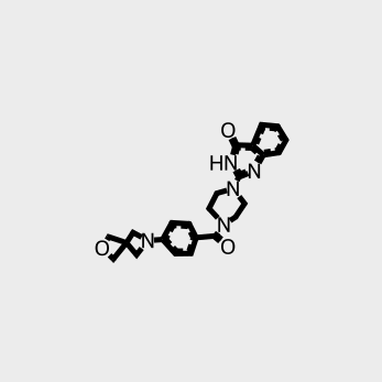 O=C(c1ccc(N2CC3(COC3)C2)cc1)N1CCN(c2nc3ccccc3c(=O)[nH]2)CC1